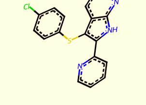 Clc1ccc(Sc2c(-c3ccccn3)[nH]c3ncccc23)cc1